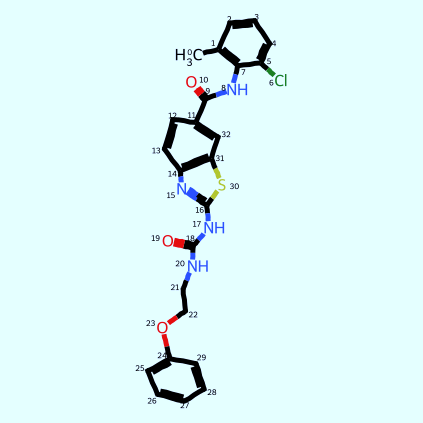 Cc1cccc(Cl)c1NC(=O)c1ccc2nc(NC(=O)NCCOc3ccccc3)sc2c1